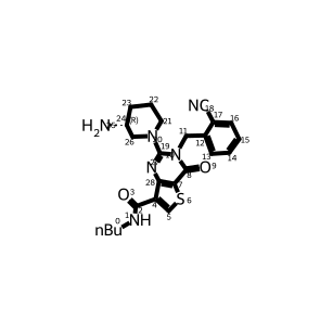 CCCCNC(=O)c1csc2c(=O)n(Cc3ccccc3C#N)c(N3CCC[C@@H](N)C3)nc12